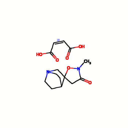 CN1OC2(CC1=O)CN1CCC2CC1.O=C(O)/C=C\C(=O)O